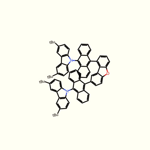 CC(C)(C)c1ccc2c(c1)c1cc(C(C)(C)C)ccc1n2-c1c2ccccc2c(-c2ccc3oc4cccc(-c5c6ccccc6c(-n6c7ccc(C(C)(C)C)cc7c7cc(C(C)(C)C)ccc76)c6ccccc56)c4c3c2)c2ccccc12